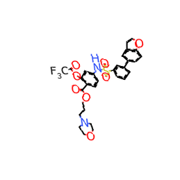 O=C(OCCCN1CCOCC1)c1ccc(NS(=O)(=O)c2cccc(-c3ccc4c(c3)CCO4)c2)cc1OC(=O)C(F)(F)F